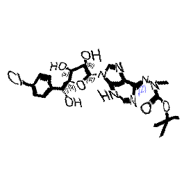 CN(/N=c1\nc[nH]c2c1ncn2[C@@H]1O[C@H]([C@H](O)c2ccc(Cl)cc2)[C@@H](O)[C@H]1O)C(=O)OC(C)(C)C